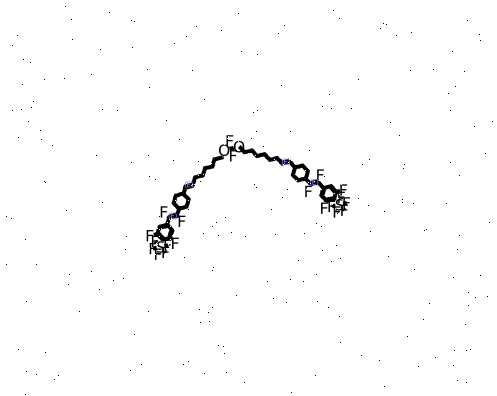 F/C(=C(/F)C1CCC(/C=C/CCCCCCOC(F)(F)OCCCCCC/C=C/C2CCC(/C(F)=C(\F)c3cc(F)c(S(F)(F)(F)(F)F)c(F)c3)CC2)CC1)c1cc(F)c(S(F)(F)(F)(F)F)c(F)c1